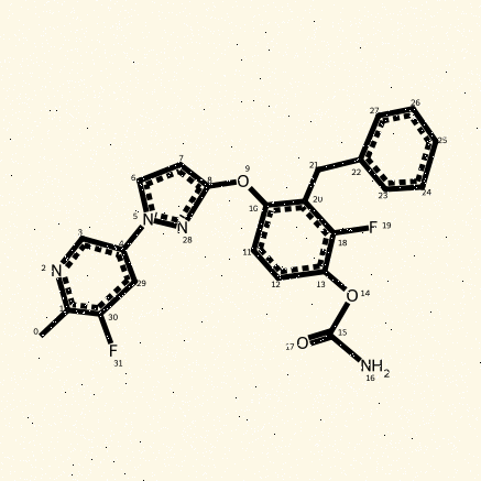 Cc1ncc(-n2ccc(Oc3ccc(OC(N)=O)c(F)c3Cc3ccccc3)n2)cc1F